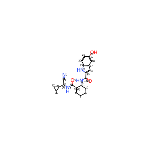 N#C[C@@H](NC(=O)[C@@H]1CCCCC1NC(=O)c1cc2cc(O)ccc2[nH]1)C1CC1